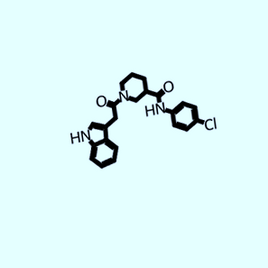 O=C(Nc1ccc(Cl)cc1)C1CCCN(C(=O)Cc2c[nH]c3ccccc23)C1